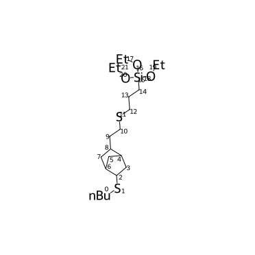 CCCCSC1CC2CC1CC2CCSCCC[Si](OCC)(OCC)OCC